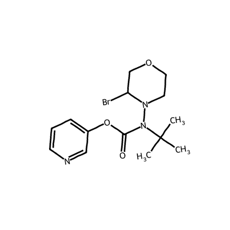 CC(C)(C)N(C(=O)Oc1cccnc1)N1CCOCC1Br